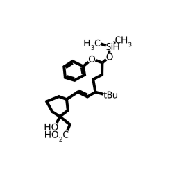 C[SiH](C)OC(CCC(C=CC1CCCC(O)(CC(=O)O)C1)C(C)(C)C)Oc1ccccc1